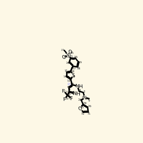 CN(CCN/C(=C\C(=N)C(F)(F)F)c1ccc(-c2cccc(S(C)(=O)=O)c2)s1)Cc1ccco1